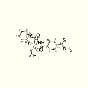 CCC(=O)C(NC(=O)c1ccc(C(N)=S)cc1)(Oc1ccccc1)C(=O)O